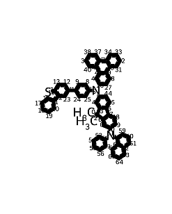 CC1(C)c2cc(N(c3ccc(-c4ccc5sc6ccccc6c5c4)cc3)c3ccc4c5ccccc5c5ccccc5c4c3)ccc2-c2ccc(N(c3ccccc3)c3cccc4ccccc34)cc21